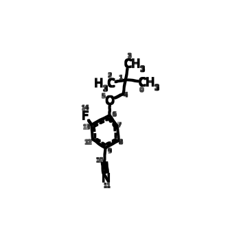 CC(C)(C)COc1ccc(C#N)cc1F